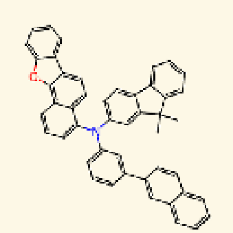 CC1(C)c2ccccc2-c2ccc(N(c3cccc(-c4ccc5ccccc5c4)c3)c3cccc4c3ccc3c5ccccc5oc43)cc21